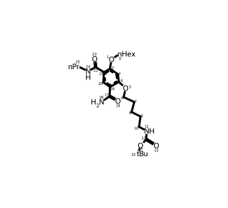 CCCCCCOc1cc(OCCCCCNC(=O)OC(C)(C)C)c(C(N)=O)cc1C(=O)NCCC